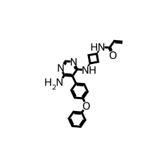 C=CC(=O)N[C@H]1C[C@@H](Nc2ncnc(N)c2-c2ccc(Oc3ccccc3)cc2)C1